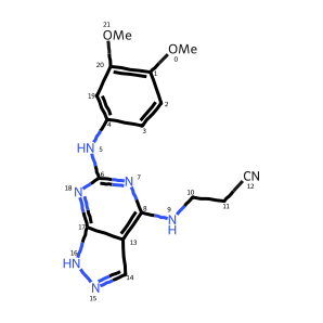 COc1ccc(Nc2nc(NCCC#N)c3cn[nH]c3n2)cc1OC